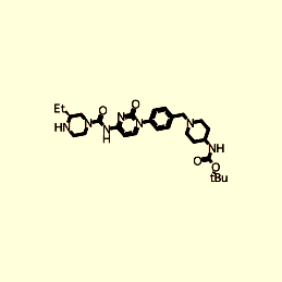 CC[C@H]1CN(C(=O)Nc2ccn(-c3ccc(CN4CCC(NC(=O)OC(C)(C)C)CC4)cc3)c(=O)n2)CCN1